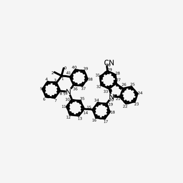 CC1(C)c2ccccc2N(c2cccc(-c3cccc(-n4c5ccccc5c5cc(C#N)ccc54)c3)c2)c2ccccc21